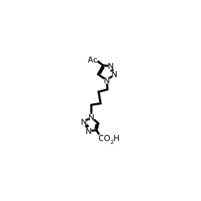 CC(=O)c1cn(CCCCn2cc(C(=O)O)nn2)nn1